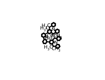 CC1(C)c2ccccc2N2c3ccccc3C(C)(C)c3cc(-c4cccc5c4sc4c(-c6cc7c8c(c6)C(C)(C)c6ccccc6N8c6ccccc6C7(C)C)cccc45)cc1c32